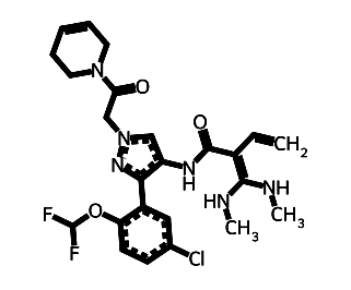 C=CC(C(=O)Nc1cn(CC(=O)N2CC=CCC2)nc1-c1cc(Cl)ccc1OC(F)F)=C(NC)NC